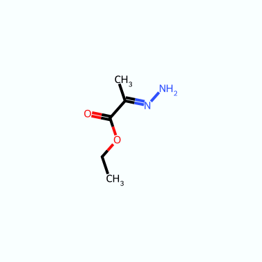 CCOC(=O)C(C)=NN